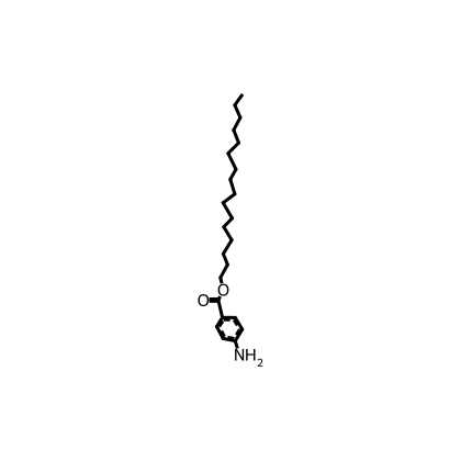 CCCCCCCCCCCCCCCCOC(=O)c1ccc(N)cc1